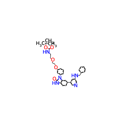 CC(C)(C)OC(=O)NCCOCCOc1cccc(-n2c(=O)[nH]c3ccc(-c4cncc(NCc5ccccc5)c4)cc32)c1